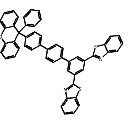 c1ccc(C2(c3ccc(-c4ccc(-c5cc(-c6nc7ccccc7s6)cc(-c6nc7ccccc7s6)c5)cc4)cc3)c3ccccc3Oc3ccccc32)cc1